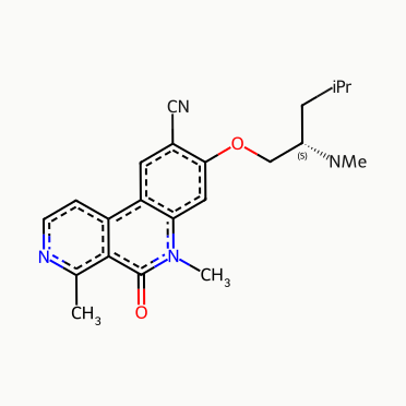 CN[C@H](COc1cc2c(cc1C#N)c1ccnc(C)c1c(=O)n2C)CC(C)C